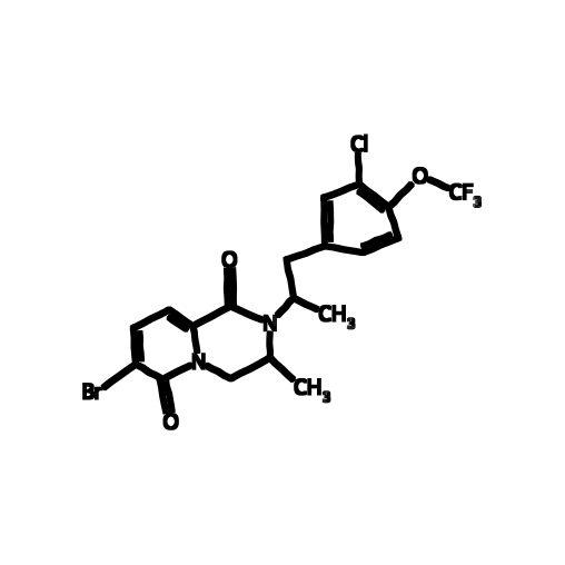 CC(Cc1ccc(OC(F)(F)F)c(Cl)c1)N1C(=O)c2ccc(Br)c(=O)n2CC1C